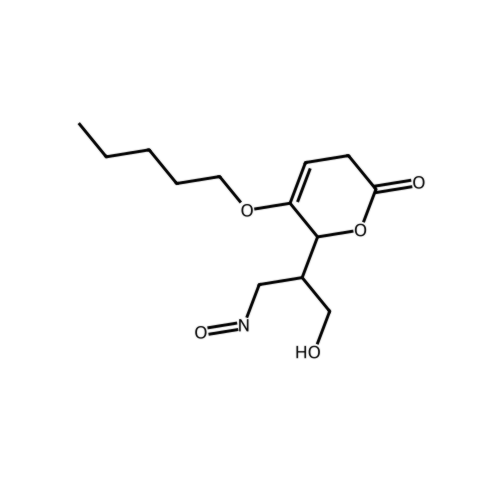 CCCCCOC1=CCC(=O)OC1C(CO)CN=O